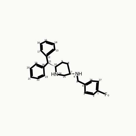 Fc1ccc(CN[C@H]2CC[C@@H](C(c3ccccc3)c3ccccc3)NC2)cc1